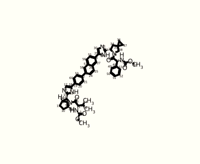 COC(=O)N[C@H](C(=O)N1[C@@H]2CC[C@@H](C2)[C@H]1c1ncc(-c2ccc(-c3ccc4cc(-c5cnc([C@@H]6CC7(CC7)CN6C(=O)[C@H](NC(=O)OC)c6ccccc6)[nH]5)ccc4c3)cc2)[nH]1)C(C)C